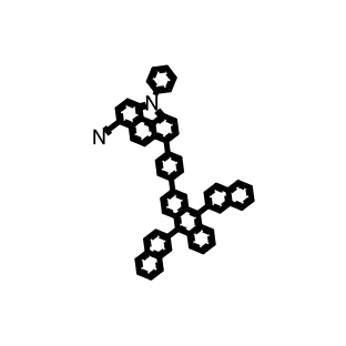 N#Cc1ccc2c3c1ccc1c(-c4ccc(-c5ccc6c(-c7ccc8ccccc8c7)c7ccccc7c(-c7ccc8ccccc8c7)c6c5)cc4)ccc(c13)n2-c1ccccc1